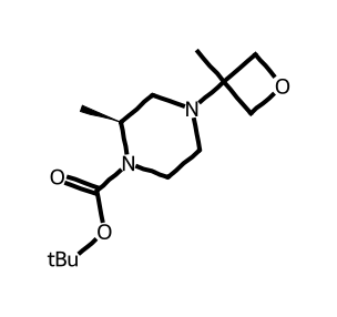 C[C@H]1CN(C2(C)COC2)CCN1C(=O)OC(C)(C)C